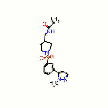 C=CC(=O)NCC1CCN(S(=O)(=O)c2cccc(-c3ccnn3C)c2)CC1